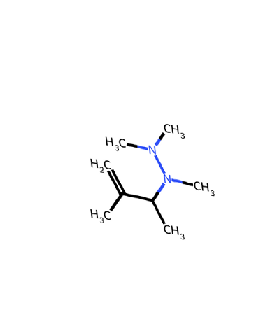 C=C(C)C(C)N(C)N(C)C